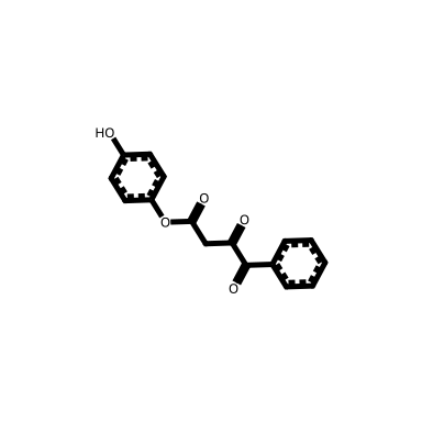 O=C(CC(=O)C(=O)c1ccccc1)Oc1ccc(O)cc1